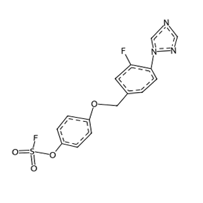 O=S(=O)(F)Oc1ccc(OCc2ccc(-n3cncn3)c(F)c2)cc1